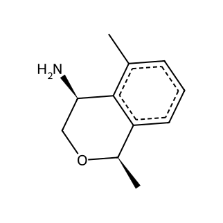 Cc1cccc2c1[C@H](N)CO[C@@H]2C